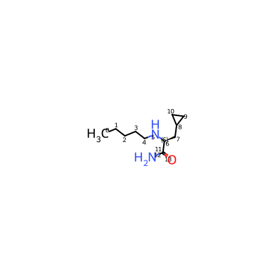 CCCCCN[C@@H](CC1CC1)C(N)=O